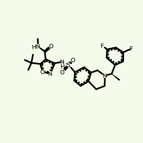 CNC(=O)c1c(NS(=O)(=O)c2ccc3c(c2)CN([C@H](C)c2cc(F)cc(F)c2)CC3)noc1C(C)(C)C